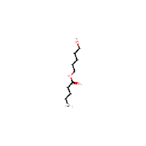 CCCCC(=O)OCCCCC[O]